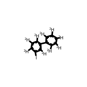 [2H]c1c([2H])c([2H])c(-c2c([2H])c([2H])c([2H])c(I)c2[2H])c([2H])c1[2H]